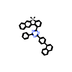 C[Si]1(C)c2cc3ccccc3cc2-c2c(-c3nc(-c4ccccc4)nc(-c4ccc(-c5cccc6ccccc56)cc4)n3)cccc21